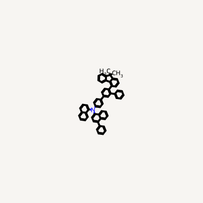 CC1(C)c2ccccc2-c2c(-c3ccc(-c4ccc(N(c5cccc6ccccc56)c5ccc(-c6ccccc6)c6ccccc56)cc4)cc3-c3ccccc3)cccc21